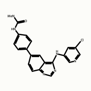 CNC(=O)Nc1ccc(-c2ccc3ncnc(Nc4cncc(Cl)c4)c3c2)cc1